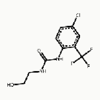 O=C(NCCO)Nc1ccc(Cl)cc1C(F)(F)F